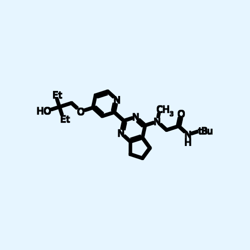 CCC(O)(CC)COc1ccnc(-c2nc3c(c(N(C)CC(=O)NC(C)(C)C)n2)CCC3)c1